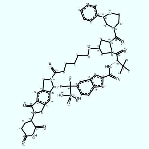 CC(C)(C)[C@H](NC(=O)c1cc2cc(C(F)(F)P(=O)(O)O)ccc2s1)C(=O)N1C[C@@H](OCCCCCC(=O)N2Cc3cc4c(cc3C2)C(=O)N(C2CCC(=O)NC2=O)C4)C[C@H]1C(=O)N1CCO[C@H](c2ccccc2)C1